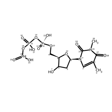 Cc1cn([C@H]2CC(O)[C@@H](CO[P@](=O)(O)OP(=O)(O)O[PH](=O)O)O2)c(=O)n(C)c1=O